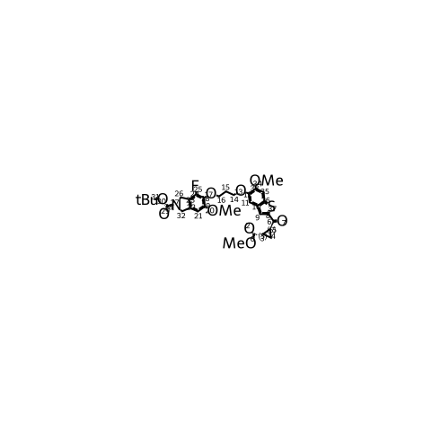 COC(=O)[C@H]1C[C@@H]1C(=O)c1cc2cc(OCCCOc3c(OC)cc4c(c3F)CN(C(=O)OC(C)(C)C)C4)c(OC)cc2s1